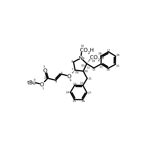 CC(C)(C)OC(=O)C=CO[C@@H]1CN(C(=O)O)[C@](Cc2ccccc2)(C(=O)O)C1Cc1ccccc1